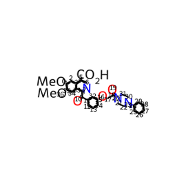 COc1cc2c(C(=O)O)cnc(C(=O)c3cccc(OCC(=O)N4CCN(c5ccccc5)CC4)c3)c2cc1OC